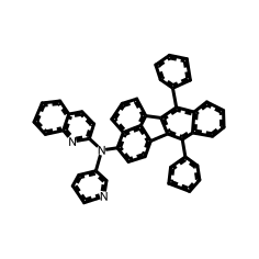 c1ccc(-c2c3c(c(-c4ccccc4)c4ccccc24)-c2ccc(N(c4cccnc4)c4ccc5ccccc5n4)c4cccc-3c24)cc1